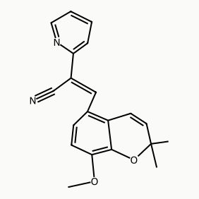 COc1ccc(C=C(C#N)c2ccccn2)c2c1OC(C)(C)C=C2